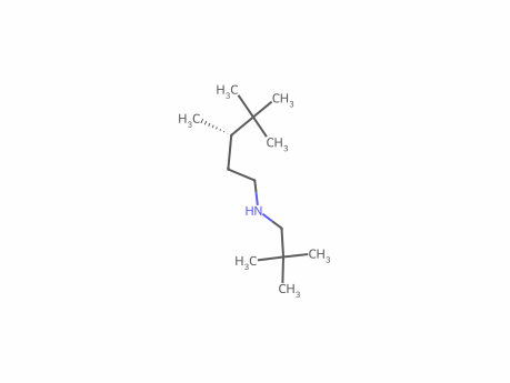 C[C@@H](CCNCC(C)(C)C)C(C)(C)C